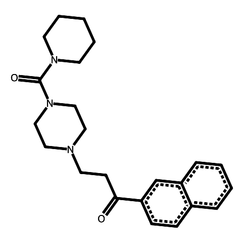 O=C(CCN1CCN(C(=O)N2CCCCC2)CC1)c1ccc2ccccc2c1